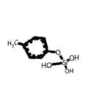 Cc1ccc(O[Si](O)(O)O)cc1